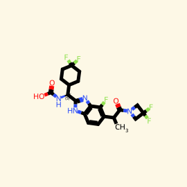 CC(C(=O)N1CC(F)(F)C1)c1ccc2[nH]c([C@@H](NC(=O)O)C3CCC(F)(F)CC3)nc2c1F